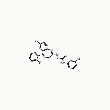 O=C(Nc1cccc(Cl)c1)ONC1=Nc2ccc(Cl)cc2C(c2ccccc2F)=NC1